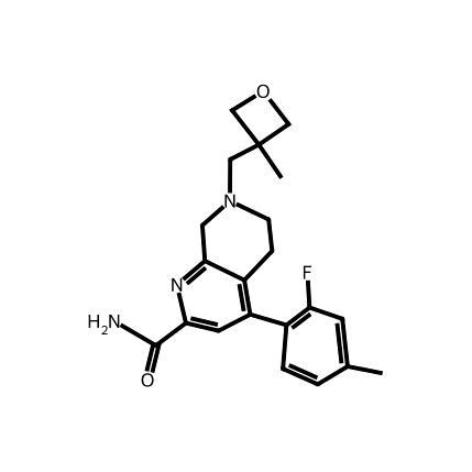 Cc1ccc(-c2cc(C(N)=O)nc3c2CCN(CC2(C)COC2)C3)c(F)c1